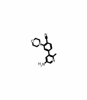 Cc1ncc(N)cc1-c1ccc(C#N)c(N2CCOCC2)c1